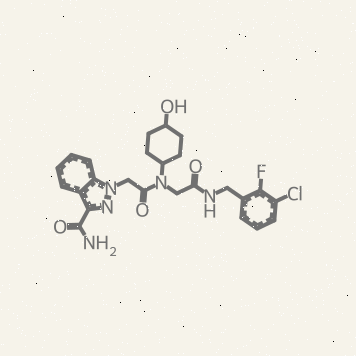 NC(=O)c1nn(CC(=O)N(CC(=O)NCc2cccc(Cl)c2F)C2CCC(O)CC2)c2ccccc12